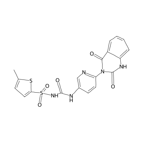 Cc1ccc(S(=O)(=O)NC(=O)Nc2ccc(-n3c(=O)[nH]c4ccccc4c3=O)nc2)s1